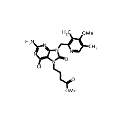 COC(=O)CCCn1c(=O)n(Cc2ncc(C)c(OC)c2C)c2nc(N)nc(Cl)c21